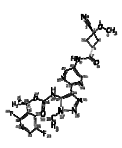 CO[C@]1(C#N)C[C@H](C(=O)Nc2cnc(-c3nnn(C)c3NC(=O)O[C@H](C)c3cc(F)cnc3F)nc2)C1